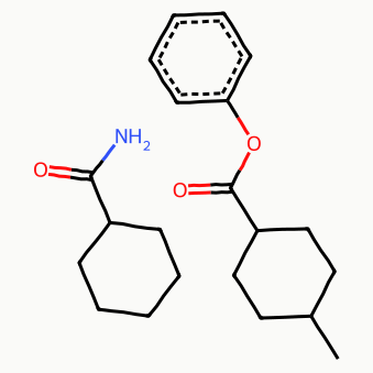 CC1CCC(C(=O)Oc2ccccc2)CC1.NC(=O)C1CCCCC1